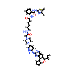 CCC(C)C(=O)C1=Cc2cnc(Nc3ccc(N4CCN(CC(=O)NCCCCCC(=O)Nc5ccccc5C(=O)NC5=NC(C)C(C)S5)CC4)cn3)nc2C1C1CCCC1